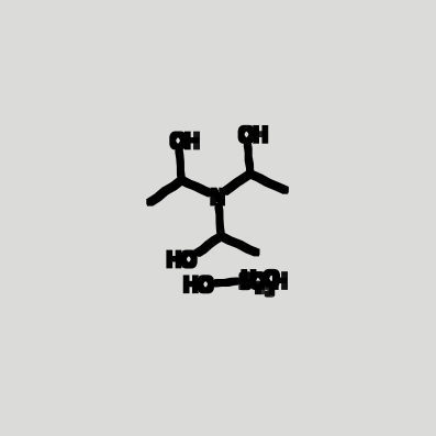 CC(O)N(C(C)O)C(C)O.O.O=S(=O)(O)O